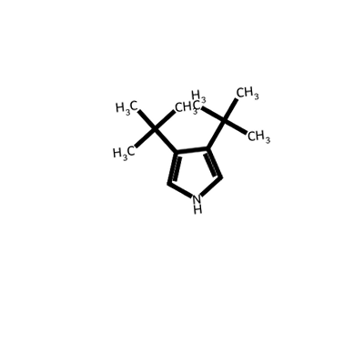 CC(C)(C)c1c[nH]cc1C(C)(C)C